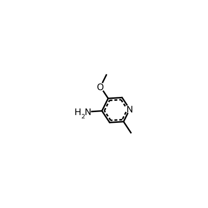 COc1cnc(C)cc1N